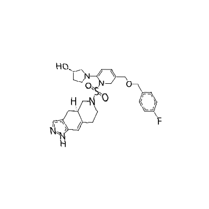 O=S(=O)(N1CCC2=Cc3[nH]ncc3C[C@H]2C1)N1CC(COCc2ccc(F)cc2)=CC=C1N1CC[C@@H](O)C1